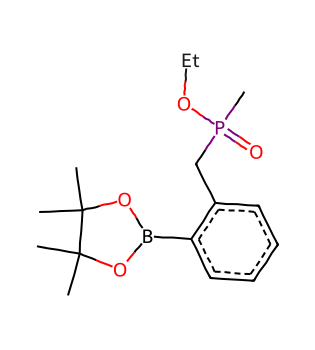 CCOP(C)(=O)Cc1ccccc1B1OC(C)(C)C(C)(C)O1